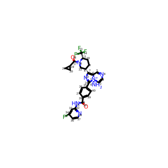 N[N+]12C=CN=CC1=C([C@H]1CC[C@H](C(F)(F)F)N(C(=O)C3CC3)C1)N=C2c1ccc(C(=O)Nc2cc(F)ccn2)cc1